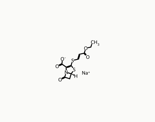 CCOC(=O)/C=C/SC1=C(C(=O)[O-])N2C(=O)C[C@H]2S1.[Na+]